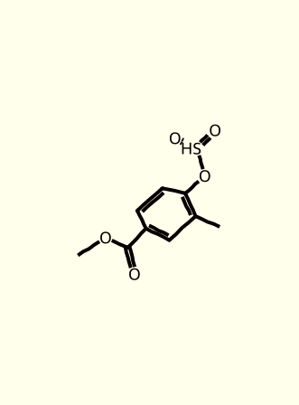 COC(=O)c1ccc(O[SH](=O)=O)c(C)c1